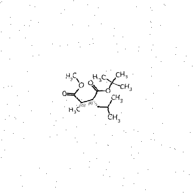 COC(=O)[C@@H](C)[C@@H](CC(C)C)C(=O)OC(C)(C)C